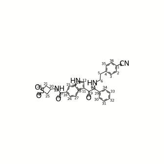 N#Cc1ccc(CCN[C@H](C(=O)c2c[nH]c3cc(C(=O)NC4CS(=O)(=O)C4)ccc23)c2ccccc2)cc1